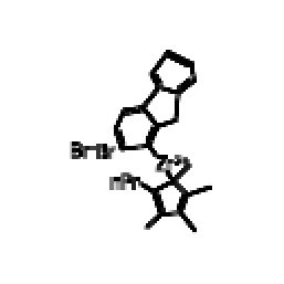 CCCC1=C(C)C(C)=C(C)[C]1(C)[Zr+2][c]1cccc2c1Cc1ccccc1-2.[Br-].[Br-]